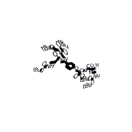 CC(C)(C)OC(=O)NCCCn1cc(-c2ccc(OCC(O/N=C(\C(=O)O)c3csc(NC(=O)OC(C)(C)C)n3)C(=O)OC(C)(C)C)cc2)nc1N(C(=O)OC(C)(C)C)C(=O)OC(C)(C)C